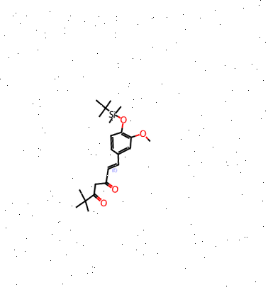 COc1cc(/C=C/C(=O)CC(=O)C(C)(C)C)ccc1O[Si](C)(C)C(C)(C)C